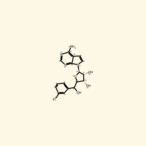 CCc1cccc(C(O)C2O[C@@H](n3ccc4c(N)ncnc43)[C@H](O)[C@@H]2O)c1